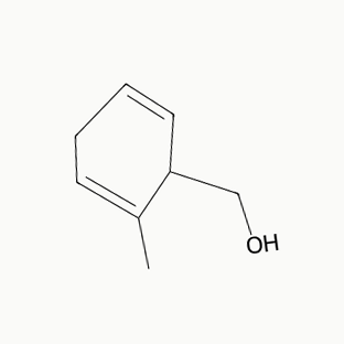 CC1=CCC=CC1CO